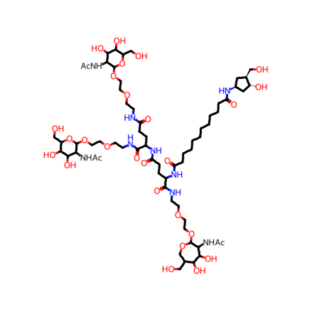 CC(=O)NC1C(OCCOCCNC(=O)C(CCC(=O)NC(CCC(=O)NCCOCCOC2OC(CO)C(O)C(O)C2NC(C)=O)C(=O)NCCOCCOC2OC(CO)C(O)C(O)C2NC(C)=O)NC(=O)CCCCCCCCCCC(=O)N[C@H]2C[C@@H](CO)[C@H](O)C2)OCC(CO)C(O)C1O